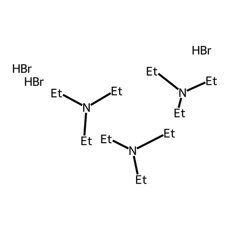 Br.Br.Br.CCN(CC)CC.CCN(CC)CC.CCN(CC)CC